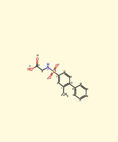 Cc1cc(S(=O)(=O)NCC(=O)O)ccc1-c1ccccc1